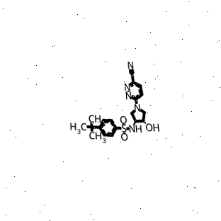 CC(C)(C)c1ccc(S(=O)(=O)N[C@H]2CN(c3ccc(C#N)nn3)C[C@@H]2O)cc1